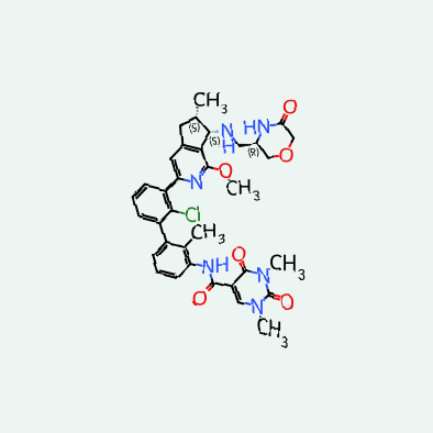 COc1nc(-c2cccc(-c3cccc(NC(=O)c4cn(C)c(=O)n(C)c4=O)c3C)c2Cl)cc2c1[C@@H](NC[C@@H]1COCC(=O)N1)[C@@H](C)C2